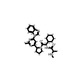 CNC(C)C(=O)N[C@H](C(=O)N1CCCC1c1cc(-n2cnc3ccccc32)nc(C)n1)C1CCCCC1